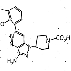 Nc1nn(C2CCN(C(=O)O)CC2)c2cc(-c3cccc(Cl)c3O)nnc12